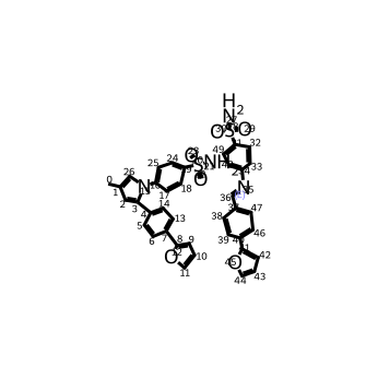 Cc1cc(-c2ccc(-c3ccco3)cc2)n(-c2ccc(S(N)(=O)=O)cc2)c1.NS(=O)(=O)c1ccc(/N=C/c2ccc(-c3ccco3)cc2)cc1